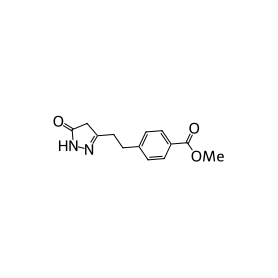 COC(=O)c1ccc(CCC2=NNC(=O)C2)cc1